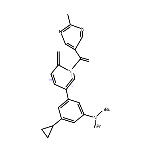 C=C(/C=C\C(=C/C)c1cc(C2CC2)cc(N(CCC)CCCC)c1)NC(=C)c1cnc(C)nc1